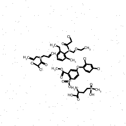 C=CCN(CC=C)C(=O)C(Cl)Cl.CCOCN(C(=O)CCl)c1c(C)cccc1CC.COC(=O)c1cc(Oc2ccc(Cl)cc2Cl)ccc1[N+](=O)[O-].CP(=O)(O)CCC(N)C(=O)O